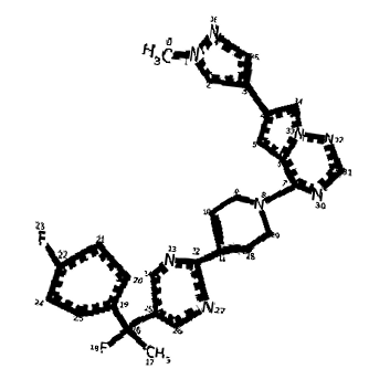 Cn1cc(-c2cc3c(N4CC=C(c5ncc(C(C)(F)c6ccc(F)cc6)cn5)CC4)ncnn3c2)cn1